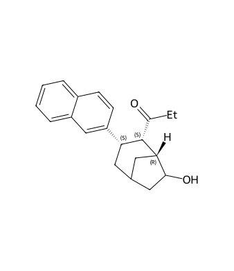 CCC(=O)[C@H]1[C@@H](c2ccc3ccccc3c2)CC2CC(O)[C@@H]1C2